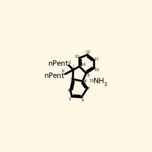 CCCCCC1(CCCCC)c2ccccc2-c2ccccc21.N